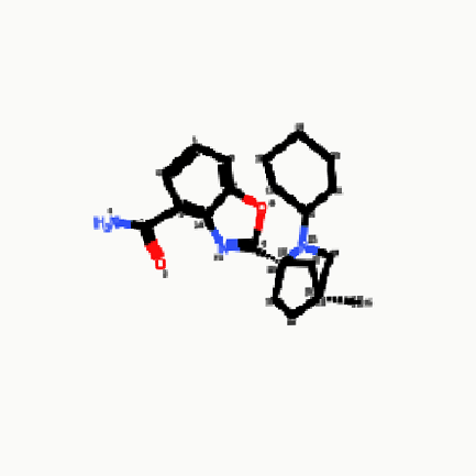 NC(=O)c1cccc2oc([C@]34CC[C@H](CN3C3CCCCC3)C4)nc12